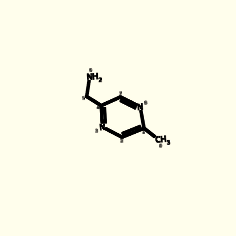 Cc1cnc(CN)[c]n1